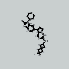 Cc1nc2ncc(-c3ccn4nc(NC5CC6(C5)CC(F)(F)C6)ncc34)cc2n1C1CCOCC1